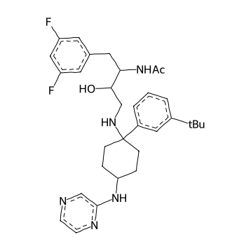 CC(=O)NC(Cc1cc(F)cc(F)c1)C(O)CNC1(c2cccc(C(C)(C)C)c2)CCC(Nc2cnccn2)CC1